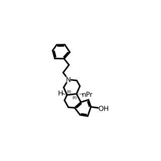 CCC[C@@]12CCN(CCc3ccccc3)C[C@@H]1CCc1ccc(O)cc12